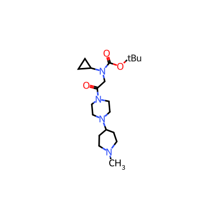 CN1CCC(N2CCN(C(=O)CN(C(=O)OC(C)(C)C)C3CC3)CC2)CC1